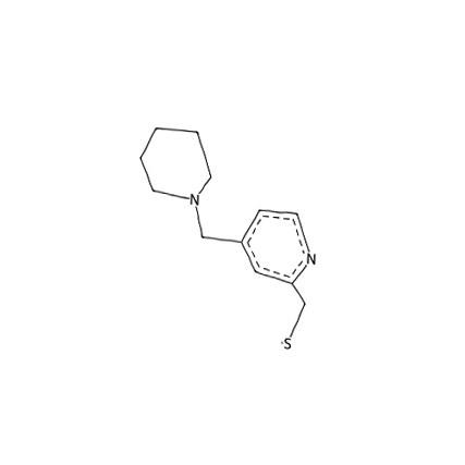 [S]Cc1cc(CN2CCCCC2)ccn1